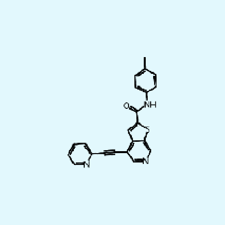 Cc1ccc(NC(=O)c2cc3c(C#Cc4ccccn4)cncc3s2)cc1